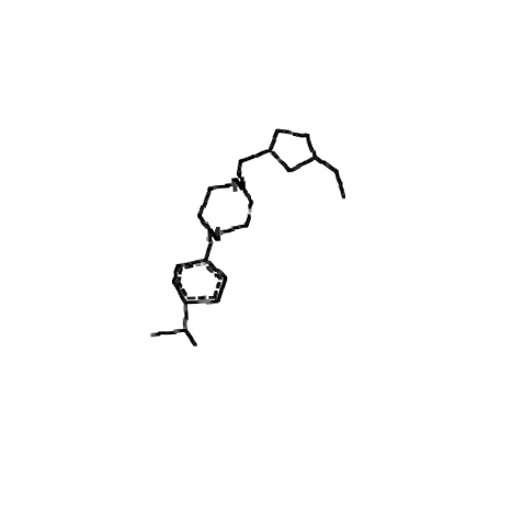 CCC1CCC(CN2CCN(c3ccc(C(C)C)cc3)CC2)C1